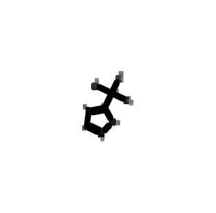 ClC(Cl)(Cl)c1ncno1